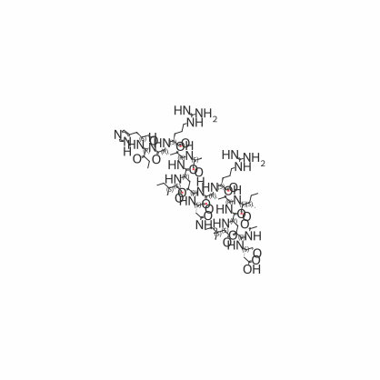 CCC(=O)[C@@H](NC(=O)[C@@H](CC(=O)[C@@H](NC(=O)[C@@H](CC(=O)[C@@H](NC(=O)[C@@H](CC(=O)[C@@H](NC(=O)[C@@H](CC(=O)[C@@H](NC(C)=O)N[C@H](C=O)CC(=O)O)N[C@H](C=O)[C@@H](C)CC)N[C@H](C=O)[C@@H](C)CC)N[C@H](C=O)CCCNC(=N)N)N[C@H](C=O)CC(N)=O)N[C@H](C=O)[C@@H](C)CC)N[C@@H](C)C=O)N[C@H](C=O)CCCNC(=N)N)N[C@H](C=O)Cc1cnc[nH]1